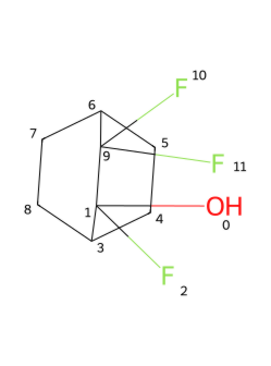 OC1(F)C2CCC(CC2)C1(F)F